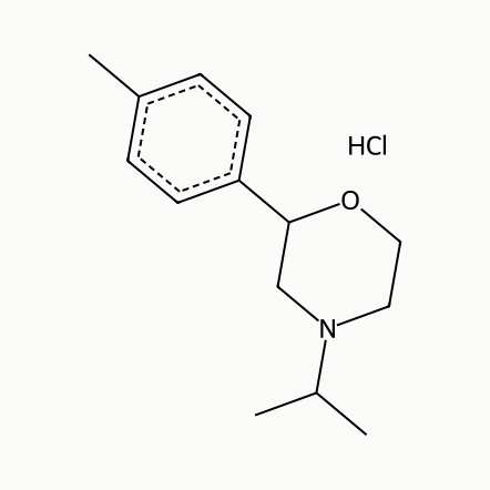 Cc1ccc(C2CN(C(C)C)CCO2)cc1.Cl